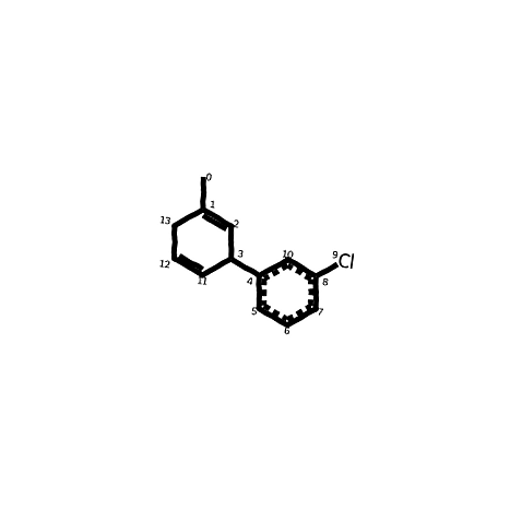 CC1=CC(c2cccc(Cl)c2)C=CC1